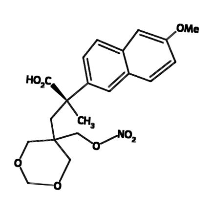 COc1ccc2cc([C@](C)(CC3(CO[N+](=O)[O-])COCOC3)C(=O)O)ccc2c1